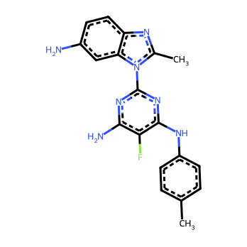 Cc1ccc(Nc2nc(-n3c(C)nc4ccc(N)cc43)nc(N)c2F)cc1